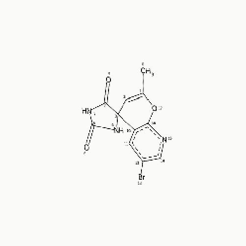 CC1=CC2(NC(=O)NC2=O)c2cc(Br)cnc2O1